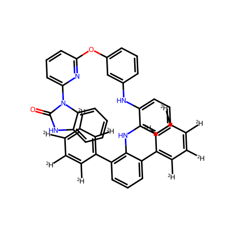 [2H]c1c([2H])c([2H])c(-c2cccc(-c3c([2H])c([2H])c([2H])c([2H])c3[2H])c2Nc2ccccc2Nc2cccc(Oc3cccc(-n4c(=O)[nH]c5ccccc54)n3)c2)c([2H])c1[2H]